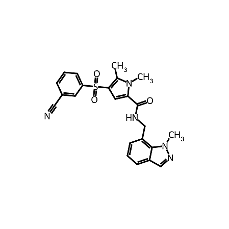 Cc1c(S(=O)(=O)c2cccc(C#N)c2)cc(C(=O)NCc2cccc3cnn(C)c23)n1C